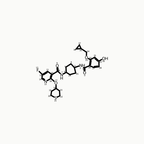 O=C(NC1CCC(NC(=O)c2cc(F)cnc2OC2CCSCC2)CC1)c1ccc(O)cc1OCC1CC1